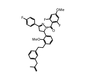 C=C(C)Cc1cccc(CCc2cccc(C3CC(c4ccc(F)cc4)=NN3C(=O)c3c(F)cc(OC)cc3F)c2OC)c1